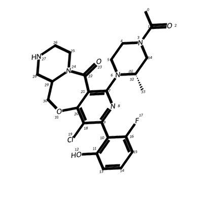 CC(=O)N1CCN(c2nc(-c3c(O)cccc3F)c(Cl)c3c2C(=O)N2CCNCC2CO3)[C@@H](C)C1